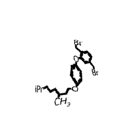 CC(C)CCCC(C)CCOc1ccc(Oc2cc(CBr)ccc2CBr)cc1